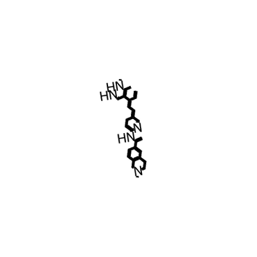 C=CC(=C\C=C1\C=NC(NC(=C)c2ccc3c(c2)CCN(C)C3)=CC1)/C(C=N)=C(\C)NC